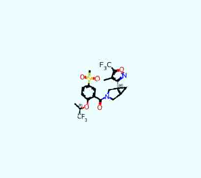 Cc1c([C@]23CC2CN(C(=O)c2cc(S(C)(=O)=O)ccc2O[C@H](C)C(F)(F)F)C3)noc1C(F)(F)F